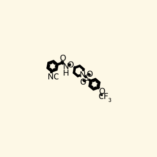 [C-]#[N+]c1cccc(C(=O)NOC2CCN(S(=O)(=O)c3ccc(OC(F)(F)F)cc3)CC2)c1